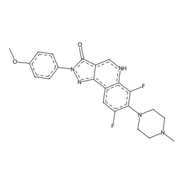 COc1ccc(-n2nc3c4cc(F)c(N5CCN(C)CC5)c(F)c4[nH]cc-3c2=O)cc1